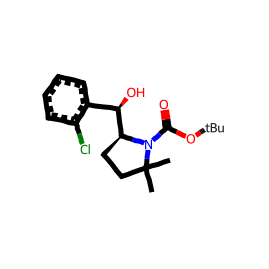 CC(C)(C)OC(=O)N1[C@H]([C@H](O)c2ccccc2Cl)CCC1(C)C